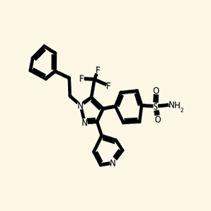 NS(=O)(=O)c1ccc(-c2c(-c3ccncc3)nn(CCc3ccccc3)c2C(F)(F)F)cc1